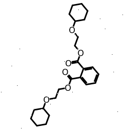 O=C(OCCOC1CCCCC1)c1ccccc1C(=O)OCCOC1CCCCC1